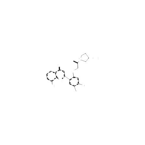 Cc1cc(-c2cc(=O)c3cccc(Cl)c3o2)c(OCC(=O)N2CC[C@H](O)C2)cc1Br